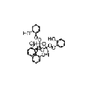 CCC(OOc1ccccc1O)(OOc1ccccc1O)OC(CC)(OOc1ccccc1O)OOc1ccccc1O